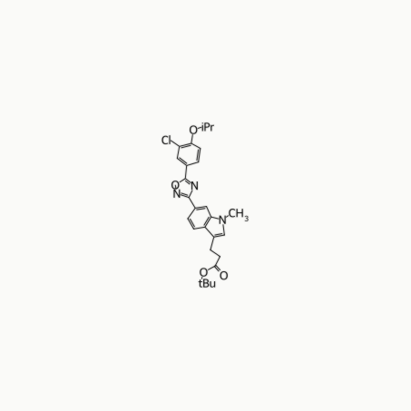 CC(C)Oc1ccc(-c2nc(-c3ccc4c(CCC(=O)OC(C)(C)C)cn(C)c4c3)no2)cc1Cl